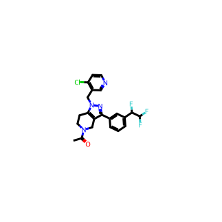 CC(=O)N1CCc2c(c(-c3cccc(C(F)C(F)F)c3)nn2Cc2cnccc2Cl)C1